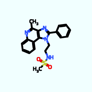 Cc1nc2ccccc2c2c1nc(-c1ccccc1)n2CCNS(C)(=O)=O